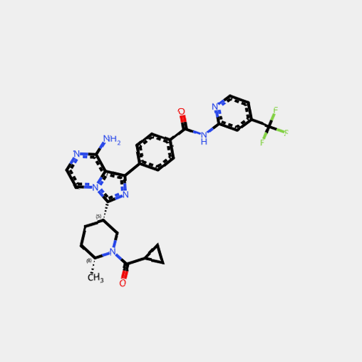 C[C@@H]1CC[C@H](c2nc(-c3ccc(C(=O)Nc4cc(C(F)(F)F)ccn4)cc3)c3c(N)nccn23)CN1C(=O)C1CC1